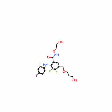 O=C(NOCCO)c1cc(COCCCO)c(F)c(F)c1Nc1ccc(I)cc1F